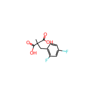 CC(Cc1ccc(F)cc1F)(C(=O)O)C(=O)O